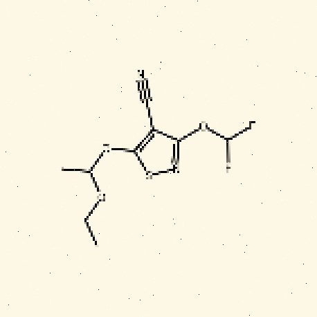 CCOC(C)Oc1snc(OC(F)F)c1C#N